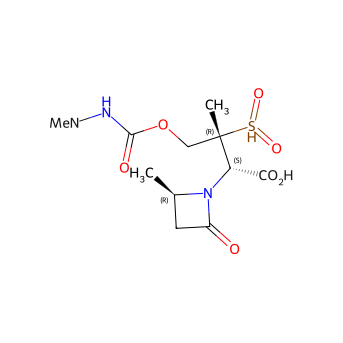 CNNC(=O)OC[C@@](C)([C@H](C(=O)O)N1C(=O)C[C@H]1C)[SH](=O)=O